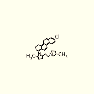 Cc1ccc(CCN2CCC(C)C2)n1C1=c2ccc3c(c2CCC1)CC=c1cc(Cl)ccc1=3